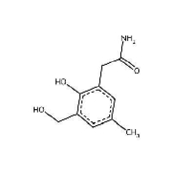 Cc1cc(CO)c(O)c(CC(N)=O)c1